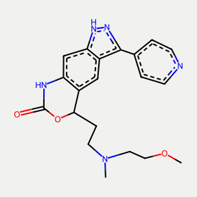 COCCN(C)CCC1OC(=O)Nc2cc3[nH]nc(-c4ccncc4)c3cc21